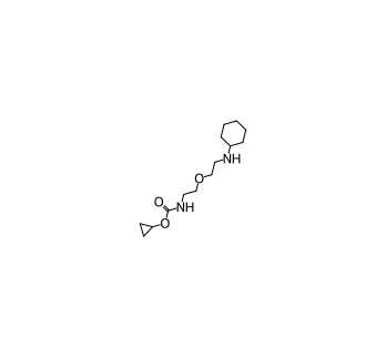 O=C(NCCOCCNC1CCCCC1)OC1CC1